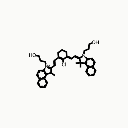 CC1C(/C=C/C2=C(Cl)C(=C/C=C3/N(CCCO)c4ccc5ccccc5c4C3(C)C)/CCC2)=[N+](CCCO)c2ccc3ccccc3c21